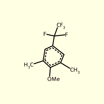 COc1c(C)cc(C(F)(F)C(F)(F)F)cc1C